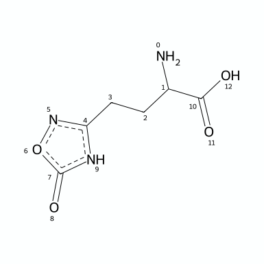 NC(CCc1noc(=O)[nH]1)C(=O)O